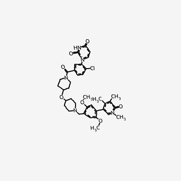 COc1cc(-c2cn(C)c(=O)c(C)c2C)c(OC)cc1CN1CCC(OC2CCN(C(=O)c3ccc(Cl)c(-n4ccc(=O)[nH]c4=O)c3)CC2)CC1